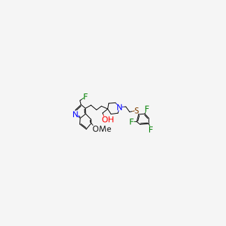 COc1ccc2ncc(CF)c(CCCC3(CO)CCN(CCSc4c(F)cc(F)cc4F)CC3)c2c1